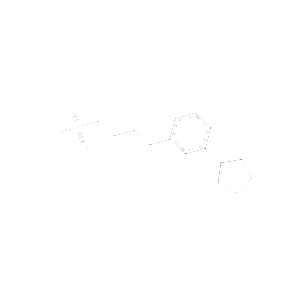 O=S(=O)(O)CCCCc1cccc(C2CCCC2)c1